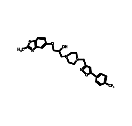 Cc1nc2cc(OCC(O)CN3CCN(Cc4cc(-c5ccc(C(F)(F)F)cc5)on4)CC3)ccc2s1